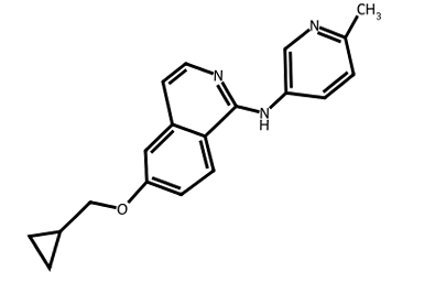 Cc1ccc(Nc2nccc3cc(OCC4CC4)ccc23)cn1